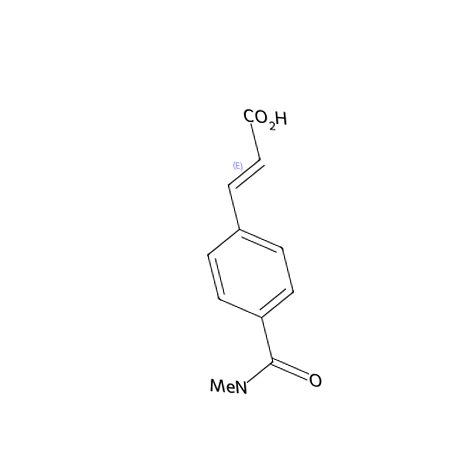 CNC(=O)c1ccc(/C=C/C(=O)O)cc1